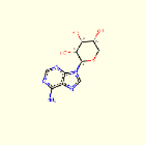 Nc1ncnc2c1ncn2[C@@H]1OC[C@@H](O)[C@@H](O)[C@H]1O